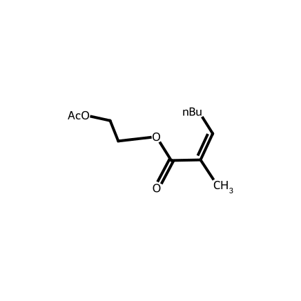 CCCCC=C(C)C(=O)OCCOC(C)=O